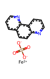 O=S(=O)([O-])[O-].[Fe+2].c1cnc2c(c1)ccc1ncccc12